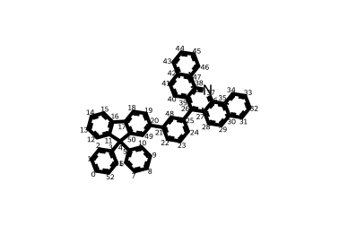 c1ccc(C2(c3ccccc3)c3ccccc3-c3ccc(-c4cccc(-c5c6ccc7ccccc7c6nc6c5ccc5ccccc56)c4)cc32)cc1